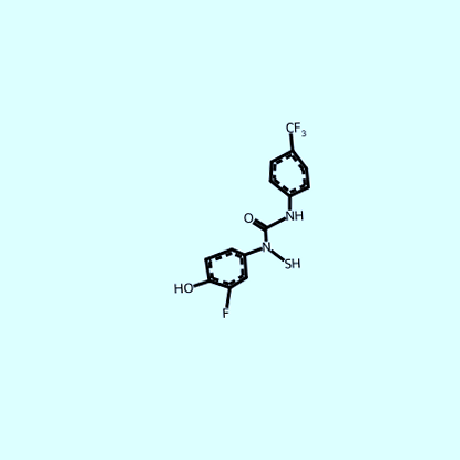 O=C(Nc1ccc(C(F)(F)F)cc1)N(S)c1ccc(O)c(F)c1